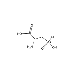 N[C@@H](C[As](=O)(O)O)C(=O)O